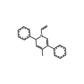 C=CN1C=C(c2ccccc2)C(C)=CC1c1ccccc1